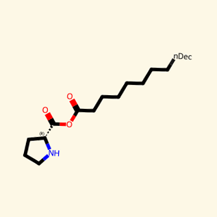 CCCCCCCCCCCCCCCCCC(=O)OC(=O)[C@H]1CCCN1